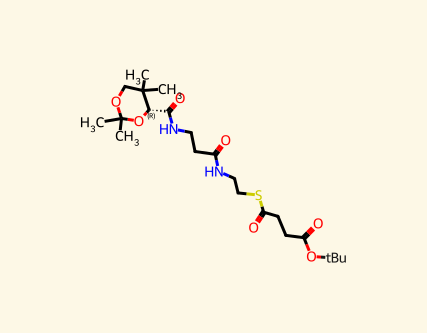 CC(C)(C)OC(=O)CCC(=O)SCCNC(=O)CCNC(=O)[C@@H]1OC(C)(C)OCC1(C)C